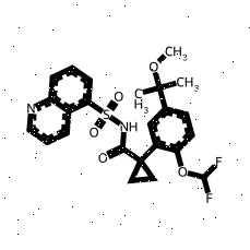 COC(C)(C)c1ccc(OC(F)F)c(C2(C(=O)NS(=O)(=O)c3cccc4ncccc34)CC2)c1